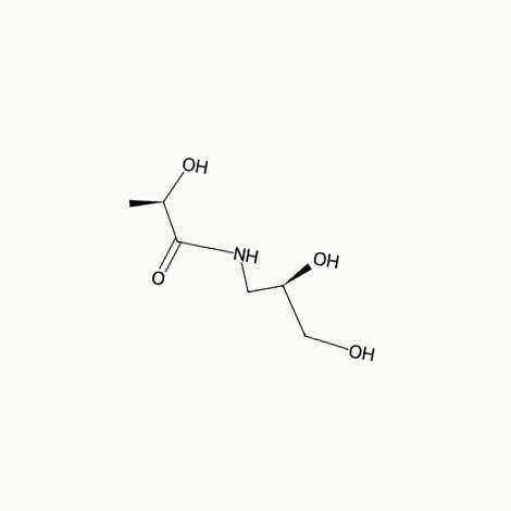 C[C@@H](O)C(=O)NC[C@@H](O)CO